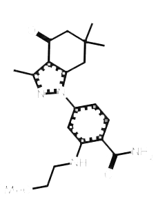 COCCNc1cc(-n2nc(C)c3c2CC(C)(C)CC3=O)ccc1C(N)=O